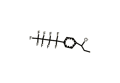 CCC([O])c1ccc(C(F)(F)C(F)(F)C(F)(F)C(F)(F)F)cc1